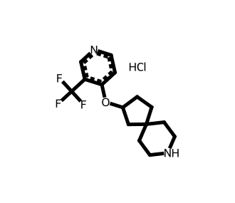 Cl.FC(F)(F)c1cnccc1OC1CCC2(CCNCC2)C1